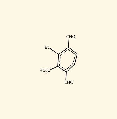 [CH2]Cc1c(C=O)ccc(C=O)c1C(=O)O